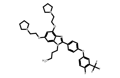 CCCCn1c(-c2ccc(Oc3ccc(F)c(C(F)(F)F)c3)cc2)nc2c(OCCN3CCCC3)cc(OCCN3CCCC3)cc21